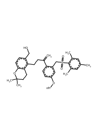 C=C(CCc1c(CO)ccc2c1CCC(C)(C)O2)c1ccc(OCCC)cc1CS(=O)(=O)c1c(C)cc(C)cc1C